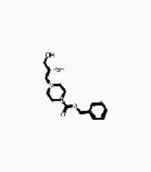 O=C(OCc1ccccc1)N1CCN(C[C@@H](S)CO)CC1